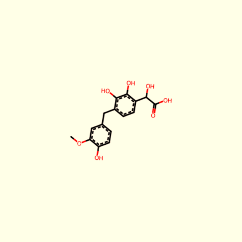 COc1cc(Cc2ccc(C(O)C(=O)O)c(O)c2O)ccc1O